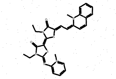 CCN1C(=O)/C(=c2/s/c(=C\C=C3\C=Cc4ccccc4N3C)c(=O)n2CC)S/C1=N\c1cccc[n+]1C